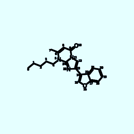 CCCCCn1c(C)cc(=O)n2cc(-c3coc4ccccc34)nc12